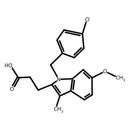 COc1ccc2c(C)c(CCC(=O)O)n(Cc3ccc(Cl)cc3)c2c1